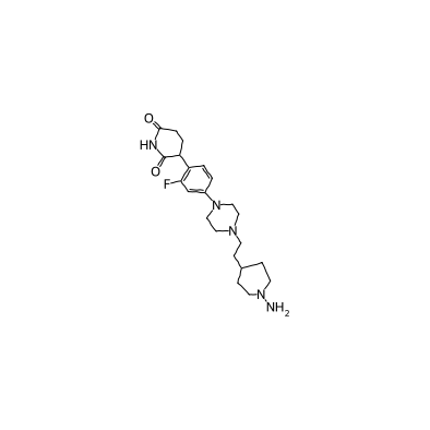 NN1CCC(CCN2CCN(c3ccc(C4CCC(=O)NC4=O)c(F)c3)CC2)CC1